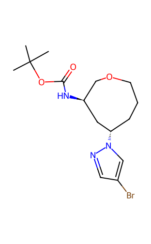 CC(C)(C)OC(=O)N[C@H]1COCCC[C@H](n2cc(Br)cn2)C1